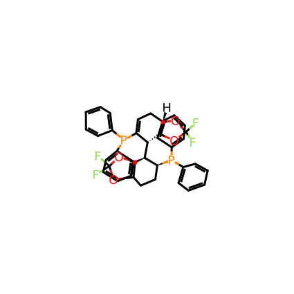 FC1(F)OC2=C(O1)[C@@H]([C@@H]1C(P(c3ccccc3)c3ccccc3)=CC[C@@H]3OC(F)(F)OC31)[C@@H](P(c1ccccc1)c1ccccc1)CC2